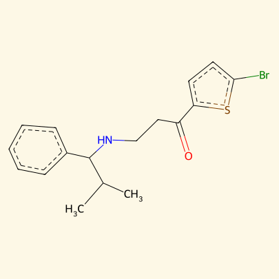 CC(C)C(NCCC(=O)c1ccc(Br)s1)c1ccccc1